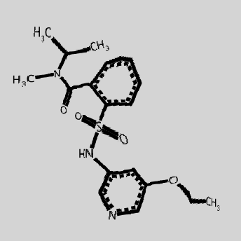 CCOc1cncc(NS(=O)(=O)c2ccccc2C(=O)N(C)C(C)C)c1